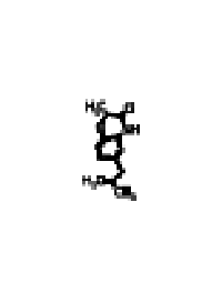 CC(C)Cc1ccc2c(c1)NC(=O)C(C)O2